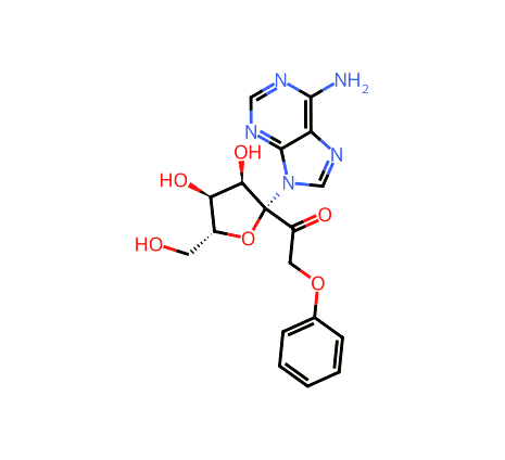 Nc1ncnc2c1ncn2[C@]1(C(=O)COc2ccccc2)O[C@H](CO)[C@@H](O)[C@H]1O